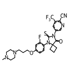 CN1CCN(CCCOc2ccc(N3C(=S)N(c4cnc(C#N)c(C(F)(F)F)c4)C(=O)C34CCC4)c(F)c2)CC1